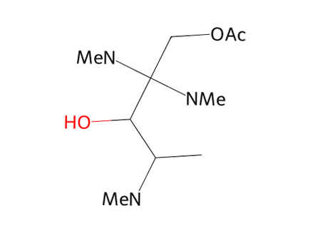 CNC(C)C(O)C(COC(C)=O)(NC)NC